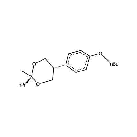 CCCCOc1ccc([C@H]2CO[C@](C)(CCC)OC2)cc1